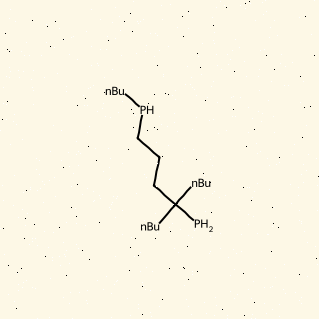 CCCCPCCCC(P)(CCCC)CCCC